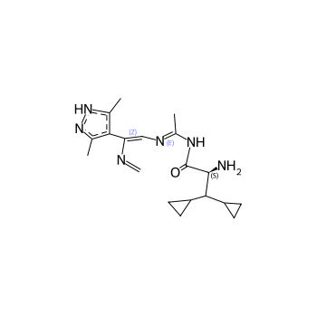 C=N/C(=C\N=C(/C)NC(=O)[C@@H](N)C(C1CC1)C1CC1)c1c(C)n[nH]c1C